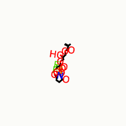 C=C(C)C(=O)OCC(O)COC(=O)C(F)(F)S(=O)(=O)ON1C(=O)CCC1=O